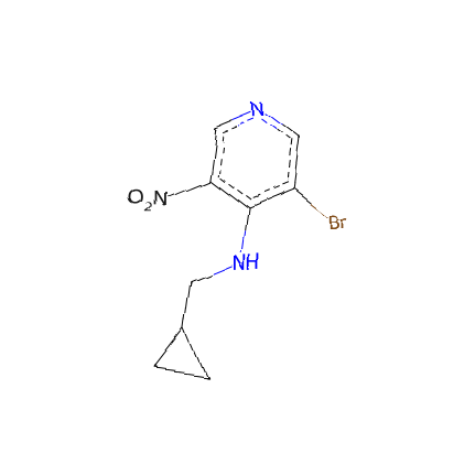 O=[N+]([O-])c1cncc(Br)c1NCC1CC1